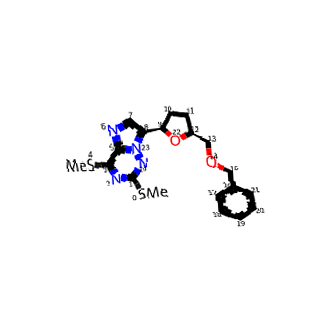 CSc1nc(SC)c2ncc([C@H]3CC[C@@H](COCc4ccccc4)O3)n2n1